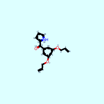 C=CCOc1cc(OCC=C)cc(C(=O)c2ccc[nH]2)c1